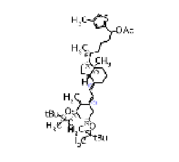 C=C1/C(=C\C=C2/CCC[C@]3(C)[C@@H]([C@H](C)CCCC(OC(C)=O)c4cc(C)cs4)CC[C@@H]23)C[C@@H](O[Si](C)(C)C(C)(C)C)C[C@@H]1O[Si](C)(C)C(C)(C)C